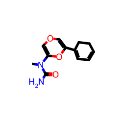 CN(C(N)=O)C1=COC=C(C2=CC=CCC2)O1